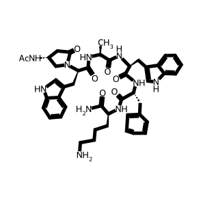 CC(=O)N[C@@H]1CC(=O)N([C@H](Cc2c[nH]c3ccccc23)C(=O)N[C@@H](C)C(=O)N[C@@H](Cc2c[nH]c3ccccc23)C(=O)N[C@H](Cc2ccccc2)C(=O)N[C@@H](CCCCN)C(N)=O)C1